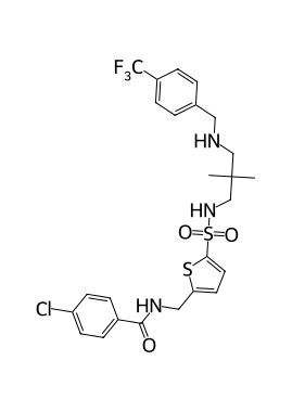 CC(C)(CNCc1ccc(C(F)(F)F)cc1)CNS(=O)(=O)c1ccc(CNC(=O)c2ccc(Cl)cc2)s1